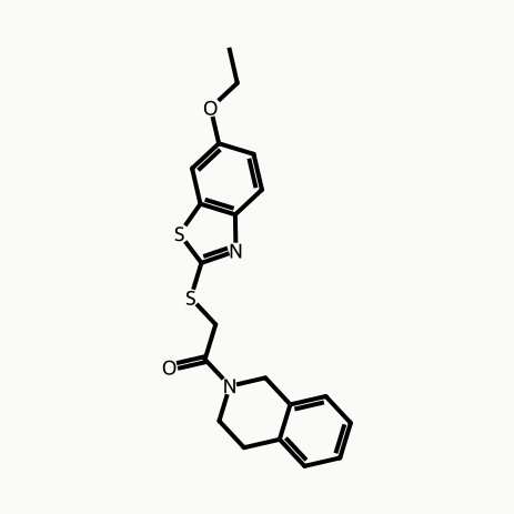 CCOc1ccc2nc(SCC(=O)N3CCc4ccccc4C3)sc2c1